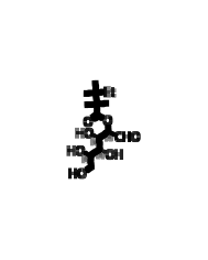 CCC(C)(C)C(C)(C)C(=O)O[C@@H](C=O)[C@@H](O)[C@H](O)[C@H](O)CO